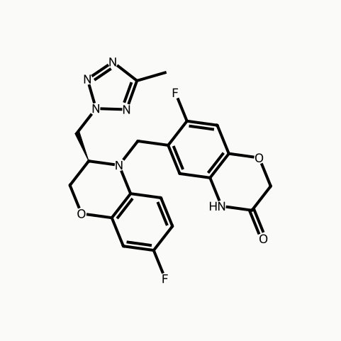 Cc1nnn(C[C@@H]2COc3cc(F)ccc3N2Cc2cc3c(cc2F)OCC(=O)N3)n1